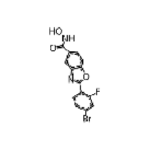 O=C(NO)c1ccc2oc(-c3ccc(Br)cc3F)nc2c1